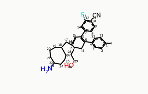 Cc1ccc(C2=C(c3ccc(C#N)c(F)c3)C=C(CC3CCCC(N)CCC3)C(CCO)C2)cc1